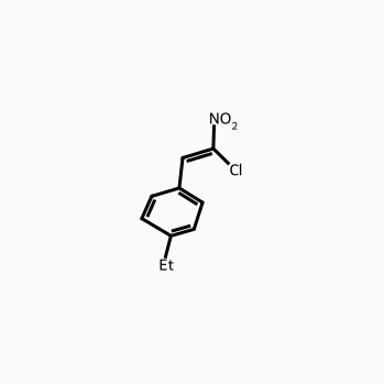 CCc1ccc(C=C(Cl)[N+](=O)[O-])cc1